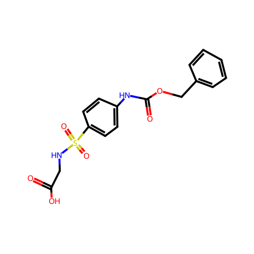 O=C(O)CNS(=O)(=O)c1ccc(NC(=O)OCc2ccccc2)cc1